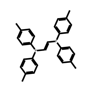 Cc1ccc(P(C=CP(c2ccc(C)cc2)c2ccc(C)cc2)c2ccc(C)cc2)cc1